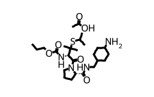 CC(=O)O.CCCOC(=O)N[C@@H](C(=O)N1CCC[C@H]1C(=O)NCC1CCC(N)CC1)C(C)(C)SC(C)C